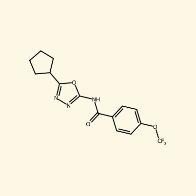 O=C(Nc1nnc(C2CCCC2)o1)c1ccc(OC(F)(F)F)cc1